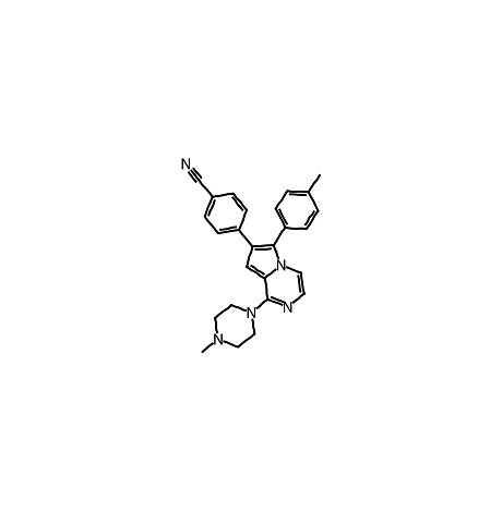 Cc1ccc(-c2c(-c3ccc(C#N)cc3)cc3c(N4CCN(C)CC4)nccn23)cc1